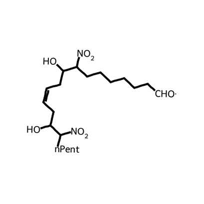 CCCCCC(C(O)C/C=C\CC(O)C(CCCCCC[C]=O)[N+](=O)[O-])[N+](=O)[O-]